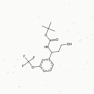 CC(C)(C)OC(=O)NC(CCO)c1cccc(OC(F)(F)F)c1